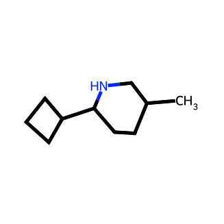 CC1CCC(C2CCC2)NC1